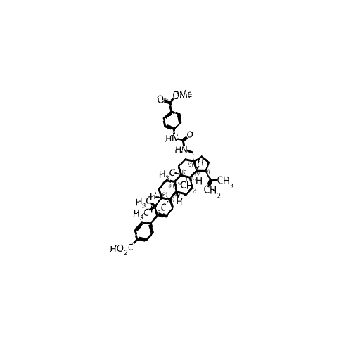 C=C(C)[C@@H]1CC[C@]2(CNC(=O)Nc3ccc(C(=O)OC)cc3)CC[C@]3(C)[C@H](CC[C@@H]4[C@@]5(C)CC=C(c6ccc(C(=O)O)cc6)C(C)(C)[C@@H]5CC[C@]43C)[C@@H]12